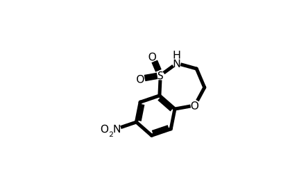 O=[N+]([O-])c1ccc2c(c1)S(=O)(=O)NCCO2